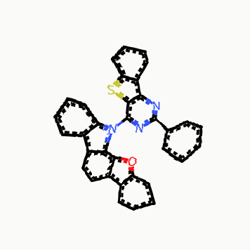 c1ccc(-c2nc(-n3c4ccccc4c4ccc5c6ccccc6oc5c43)c3sc4ccccc4c3n2)cc1